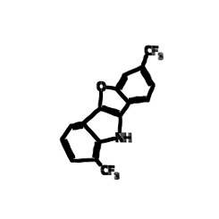 FC(F)(F)c1ccc2c(c1)oc1c3cccc(C(F)(F)F)c3[nH]c21